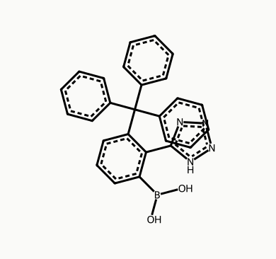 OB(O)c1cccc(C(c2ccccc2)(c2ccccc2)c2ccccc2)c1-c1nnn[nH]1